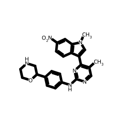 Cc1cnc(Nc2ccc(C3CNCCO3)cc2)nc1-c1cn(C)c2cc([N+](=O)[O-])ccc12